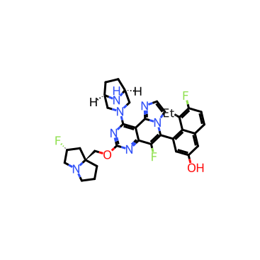 CCc1c(F)ccc2cc(O)cc(-c3c(F)c4nc(OC[C@@]56CCCN5C[C@H](F)C6)nc(N5C[C@H]6CC[C@@H](C5)N6)c4c4nccn34)c12